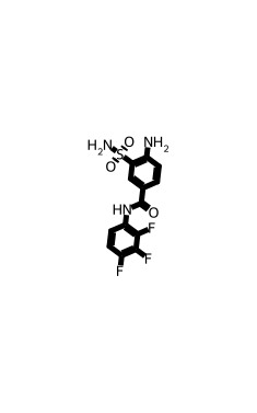 Nc1ccc(C(=O)Nc2ccc(F)c(F)c2F)cc1S(N)(=O)=O